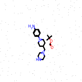 CC(C)(C)OC=O.Nc1ccc(N2CCC(CN3CCNCC3)CC2)cc1